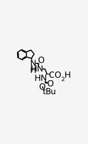 CC(C)(C)OC(=O)N[C@@H](CNC(=O)NC1CCc2ccccc21)C(=O)O